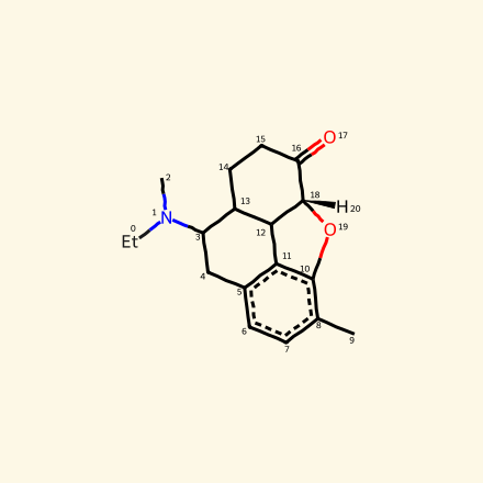 CCN(C)C1Cc2ccc(C)c3c2C2C1CCC(=O)[C@@H]2O3